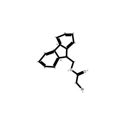 O=C(CBr)OCC1c2ccccc2-c2ccccc21